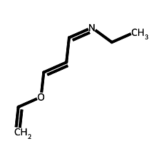 C=CO/C=C/C=N\CC